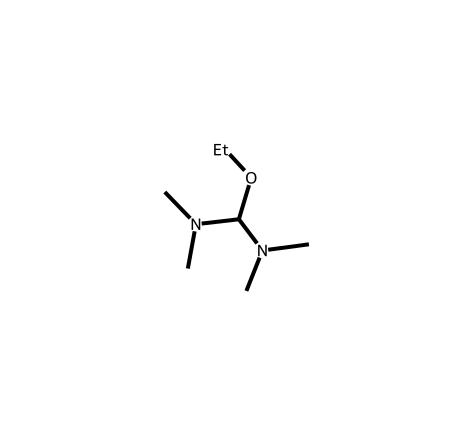 CCOC(N(C)C)N(C)C